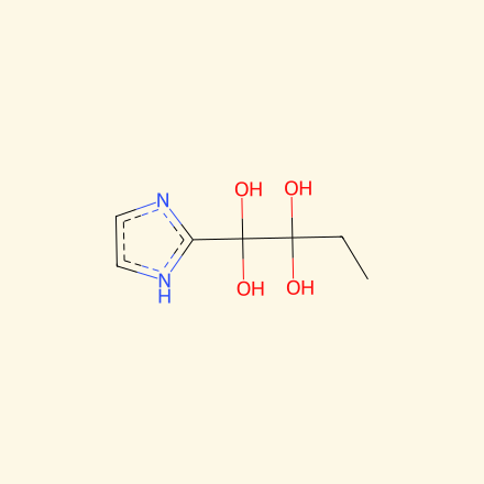 CCC(O)(O)C(O)(O)c1ncc[nH]1